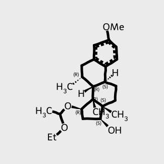 CCOC(C)O[C@@H]1C[C@H](O)[C@@]2(C)CC[C@@H]3c4ccc(OC)cc4C[C@@H](C)[C@H]3[C@@]12C